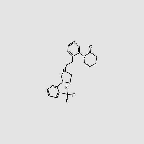 O=C1CCCCN1c1ccccc1CCN1CCC(c2ccccc2C(F)(F)F)C1